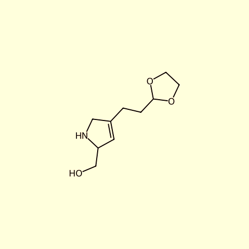 OCC1C=C(CCC2OCCO2)CN1